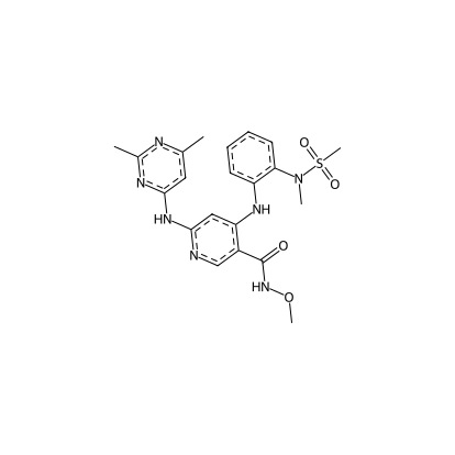 CONC(=O)c1cnc(Nc2cc(C)nc(C)n2)cc1Nc1ccccc1N(C)S(C)(=O)=O